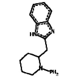 PN1CCCCC1Cc1nc2ccccc2[nH]1